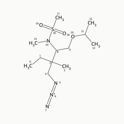 CCC(C)(CN=[N+]=[N-])C(COC(C)C)N(C)S(C)(=O)=O